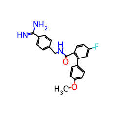 COc1ccc(-c2cc(F)ccc2C(=O)NCc2ccc(C(=N)N)cc2)cc1